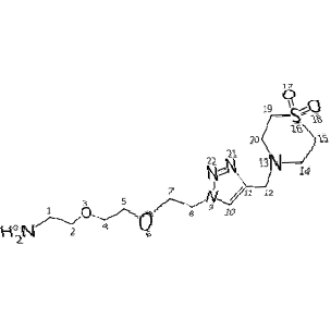 NCCOCCOCCn1cc(CN2CCS(=O)(=O)CC2)nn1